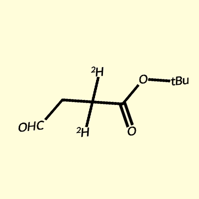 [2H]C([2H])(CC=O)C(=O)OC(C)(C)C